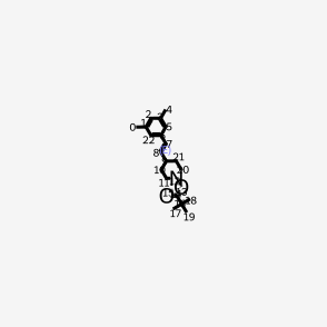 Cc1cc(C)cc(/C=C/C2CCN(OC(=O)C(C)(C)C)CC2)c1